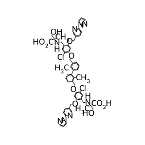 Cc1c(COc2cc(OCc3ccc(-n4cccn4)nc3)c(CN[C@@](C)(CO)C(=O)O)cc2Cl)cccc1-c1cccc(COc2cc(OCc3ccc(-n4cccn4)nc3)c(CN[C@@](C)(CO)C(=O)O)cc2Cl)c1C